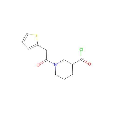 O=C(Cl)C1CCCN(C(=O)Cc2cccs2)C1